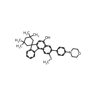 CSc1cc2c3c(cc(O)c2cc1-c1ccc(N2CCOCC2)cc1)C1(CC(C)(C)CC(C)(C)C1)c1ccccc1-3